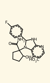 NC(=O)C1(N2c3c(C(=O)O)ccnc3NC2c2ccc(F)cc2)CCCC1O